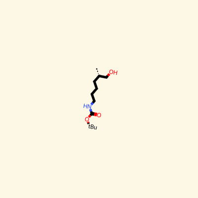 C[C@H](CO)CCCCNC(=O)OC(C)(C)C